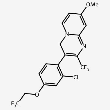 COC1=CC2=NC(C(F)(F)F)=C(c3ccc(OCC(F)(F)F)cc3Cl)CN2C=C1